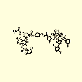 CC(C)[C@H](NC(=O)C[C@@H](C(=O)O)N1C(=O)C=CC1=O)C(=O)N[C@@H](CCCNC(N)=O)C(=O)Nc1ccc(COC(=O)N2C[C@@H](CN(C(=O)[C@H](C)O)[C@@H](c3nc(-c4cc(F)ccc4F)cn3Cc3cccc(F)c3)C(C)(C)C)[C@@H](F)C2)cc1